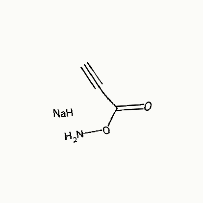 C#CC(=O)ON.[NaH]